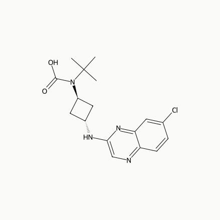 CC(C)(C)N(C(=O)O)[C@H]1C[C@H](Nc2cnc3ccc(Cl)cc3n2)C1